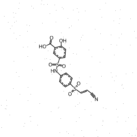 N#C/C=C/S(=O)(=O)c1ccc(NS(=O)(=O)c2ccc(O)c(C(=O)O)c2)cc1